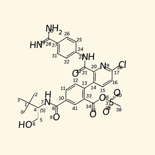 CC(C)(C)[C@@H](CO)NC(=O)c1ccc(-c2ccc(Cl)nc2C(=O)Nc2ccc(C(=N)N)cc2)c(C(=O)OS(C)(=O)=O)c1